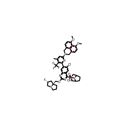 COc1ccc(CN(Cc2ccc(OC)cc2)c2cc(C)c(C(F)(F)F)c(-c3cc4nc(OC[C@@]56CCCN5C[C@H](F)C6)nc(N5CC6CCC(C5)N6C(=O)O)c4cc3Cl)n2)cc1